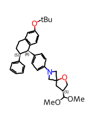 COC(OC)[C@@H]1COC2(C1)CN(c1ccc([C@@H]3c4ccc(OC(C)(C)C)cc4CC[C@@H]3c3ccccc3)cc1)C2